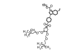 CC(C)(C)OC(=O)n1cc(-c2ccc(S(=O)(=O)N3C[C@H](OCOCC[Si](C)(C)C)[C@H](OCOCC[Si](C)(C)C)C3)cc2)c2ccc(F)cc21